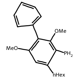 CCCCCCc1cc(OC)c(-c2ccccc2)c(OC)c1P